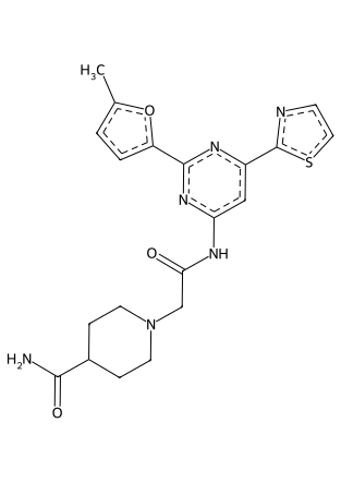 Cc1ccc(-c2nc(NC(=O)CN3CCC(C(N)=O)CC3)cc(-c3nccs3)n2)o1